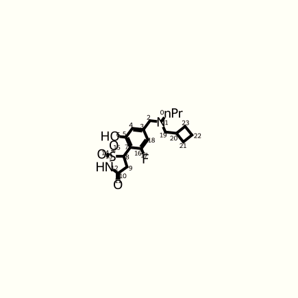 CCCN(Cc1cc(O)c(C2CC(=O)NS2(=O)=O)c(F)c1)CC1CCC1